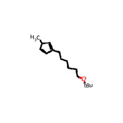 CC1C=CC(CCCCCCOC(C)(C)C)=C1